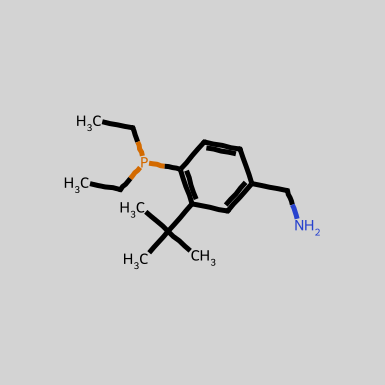 CCP(CC)c1ccc(CN)cc1C(C)(C)C